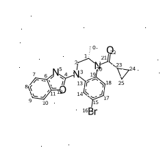 C[C@H]1CN(c2nc3ccccc3o2)c2cc(Br)ccc2N1C(=O)C1CC1